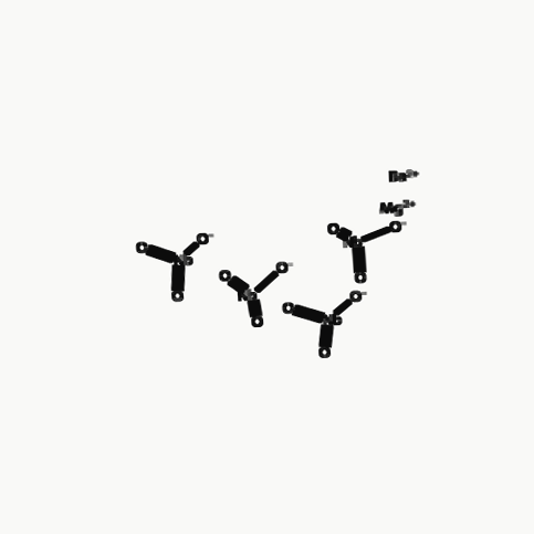 [Ba+2].[Mg+2].[O]=[Nb](=[O])[O-].[O]=[Nb](=[O])[O-].[O]=[Nb](=[O])[O-].[O]=[Nb](=[O])[O-]